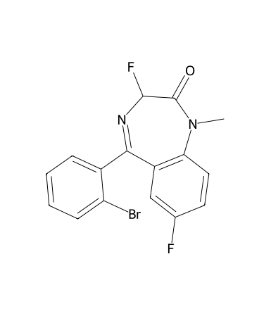 CN1C(=O)C(F)N=C(c2ccccc2Br)c2cc(F)ccc21